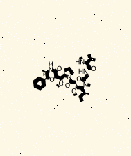 CC[C@H](C)[C@@H]([C@@H](CC(=O)N1CCC[C@H]1[C@H](OC)[C@H]1O[C@@H](c2ccccc2)[C@@H](C)NC1=O)OC)N(C)C(=O)CNC(=O)C(NC)C(C)C